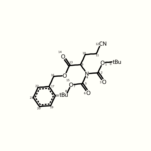 CC(C)(C)OC(=O)N(C(=O)OC(C)(C)C)C(CCC#N)C(=O)OCc1ccccc1